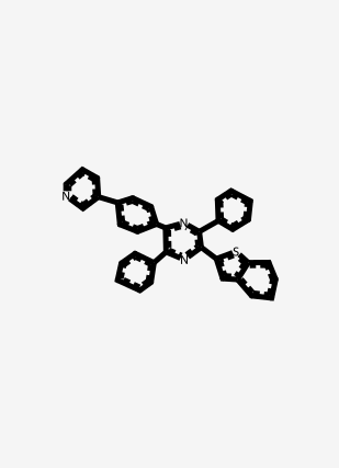 c1ccc(-c2nc(-c3cc4ccccc4s3)c(-c3ccccc3)nc2-c2ccc(-c3cccnc3)cc2)cc1